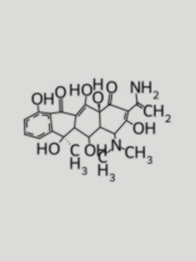 C=C(N)C1=C(O)C(N(C)C)C2C(O)C3C(=C(O)[C@]2(O)C1=O)C(=O)c1c(O)cccc1[C@]3(C)O